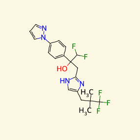 CC(C)(Cc1c[nH]c(CC(O)(c2ccc(-n3cccn3)cc2)C(F)F)n1)C(F)(F)F